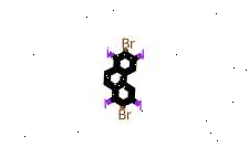 Brc1c(I)cc2c(ccc3c(I)c(Br)c(I)cc32)c1I